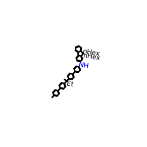 CCCCCCC1(CCCCCC)c2ccccc2-c2ccc(Nc3ccc(-c4ccc(C(C)(CC)c5ccc(-c6ccc(C)cc6)cc5)cc4)cc3)cc21